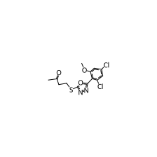 COc1cc(Cl)cc(Cl)c1-c1nnc(SCCC(C)=O)o1